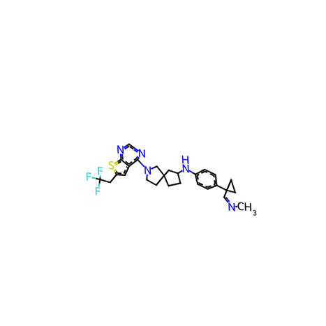 C/N=C\C1(c2ccc(NC3CCC4(CCN(c5ncnc6sc(CC(F)(F)F)cc56)C4)C3)cc2)CC1